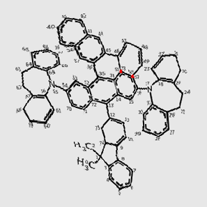 CC1(C)c2ccccc2C2=CC=C(c3c4cc(N5C6=C(CCC=C6)CCc6ccccc65)ccc4c(-c4cc5ccccc5cc4C4=CC=CCC4)c4cc(N5C6=C(CCC=C6)CCc6ccccc65)ccc34)CC21